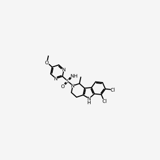 COc1cnc(S(=N)(=O)N2CCc3[nH]c4c(Cl)c(Cl)ccc4c3C2C)nc1